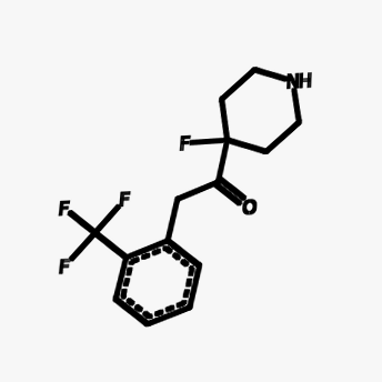 O=C(Cc1ccccc1C(F)(F)F)C1(F)CCNCC1